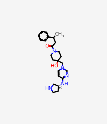 CC(CC(=O)N1CCC(O)(CN2C=CC(N[C@@H]3CCNC3)=NC2)CC1)c1ccccc1